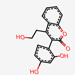 O=c1oc2ccccc2c(CCO)c1-c1ccc(O)cc1O